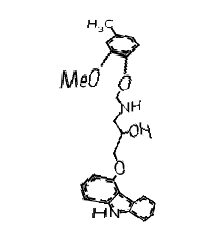 COc1cc(C)ccc1OCNCC(O)COc1cccc2[nH]c3ccccc3c12